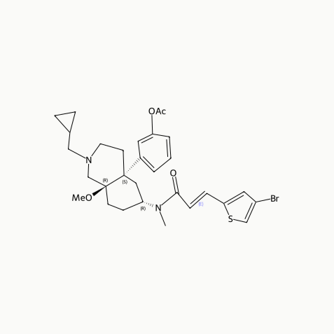 CO[C@]12CC[C@@H](N(C)C(=O)/C=C/c3cc(Br)cs3)C[C@]1(c1cccc(OC(C)=O)c1)CCN(CC1CC1)C2